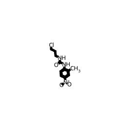 Cc1cc([N+](=O)[O-])ccc1NC(=O)NCCCCl